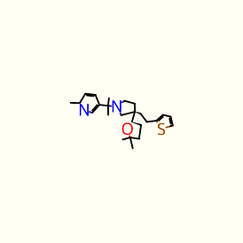 Cc1ccc(C(C)(C)N2CC[C@](CCc3cccs3)([C@H]3CCC(C)(C)O3)C2)cn1